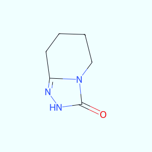 O=c1[nH]nc2n1CCCC2